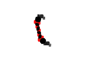 O=[N+]([O-])c1ccc(S(=O)(=O)CCOCCOCCOCCS(=O)(=O)c2ccc([N+](=O)[O-])cc2)cc1